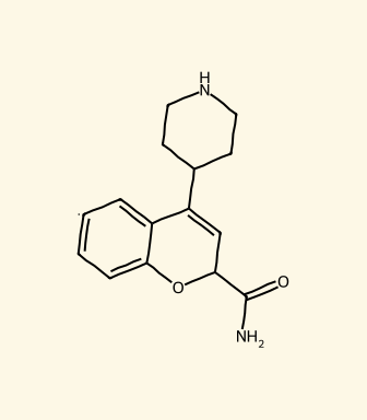 NC(=O)C1C=C(C2CCNCC2)c2c[c]ccc2O1